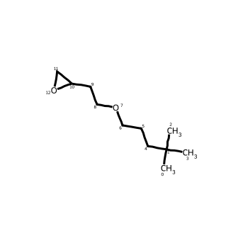 CC(C)(C)CCCOCCC1CO1